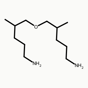 CC(CCCN)COCC(C)CCCN